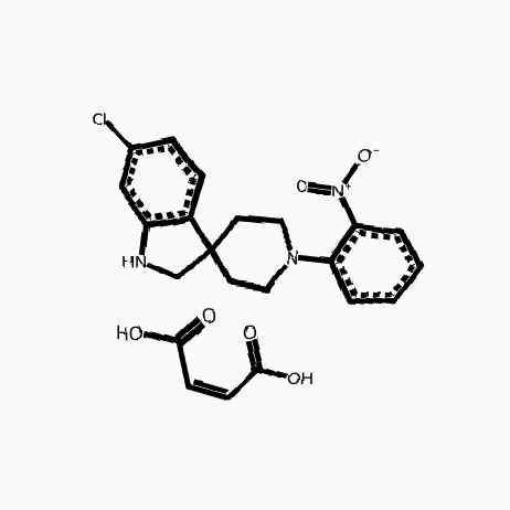 O=C(O)/C=C\C(=O)O.O=[N+]([O-])c1ccccc1N1CCC2(CC1)CNc1cc(Cl)ccc12